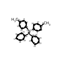 Cc1ccc([N+](c2ccc(C)cc2)N(c2ccccc2)c2ccccc2)cc1